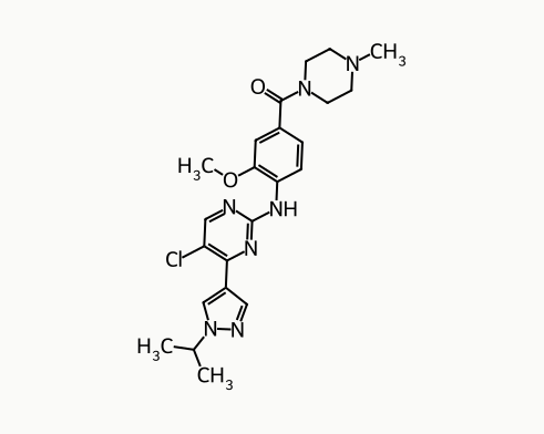 COc1cc(C(=O)N2CCN(C)CC2)ccc1Nc1ncc(Cl)c(-c2cnn(C(C)C)c2)n1